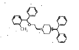 Cc1ccccc1C(OCCN1CCN(C(c2ccccc2)c2ccccc2)CC1)c1ccccc1